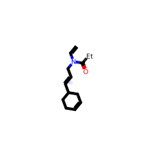 C=CN(C/C=C/C1CC=CCC1)C(=O)CC